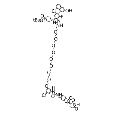 CC(C)(C)OC(=O)N1CCN(c2nc(NCCOCCOCCOCCOCCOCCOCCOCCOCCOc3cc(Cl)cc(NC(=O)NCc4ccc5c(c4)CN(C4CCC(=O)NC4=O)C5=O)c3)nc3c(F)c(-c4cc(O)cc5ccccc45)c(Cl)cc23)CC1